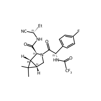 CC[C@@H](C#N)NC(=O)[C@@H]1[C@@H]2[C@H](CN1C(=O)[C@@H](NC(=O)C(F)(F)F)c1ccc(F)cc1)C2(C)C